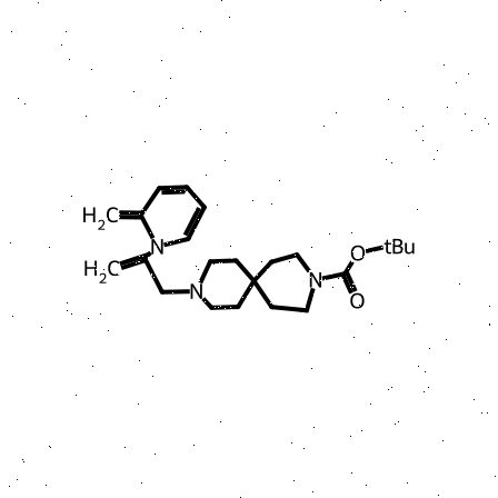 C=C1C=CC=CN1C(=C)CN1CCC2(CC1)CCN(C(=O)OC(C)(C)C)CC2